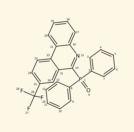 O=P(c1ccccc1)(c1ccccc1)c1nc2ccccc2c2ccc(C(F)(F)F)cc12